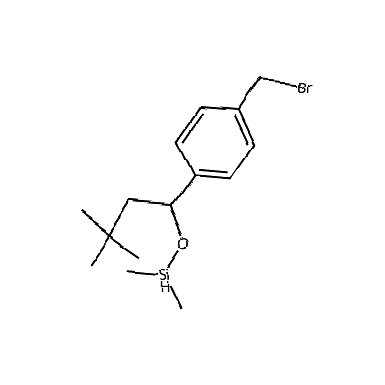 C[SiH](C)OC(CC(C)(C)C)c1ccc(CBr)cc1